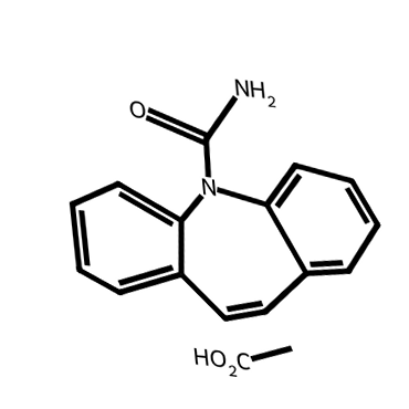 CC(=O)O.NC(=O)N1c2ccccc2C=Cc2ccccc21